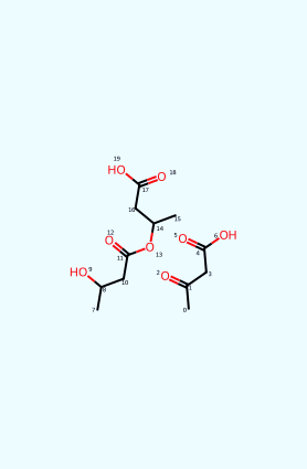 CC(=O)CC(=O)O.CC(O)CC(=O)OC(C)CC(=O)O